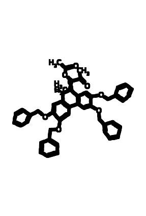 CC(=O)OC[C@@H](C)c1cc(OCc2ccccc2)c(OCc2ccccc2)cc1-c1cc(OCc2ccccc2)c(OCc2ccccc2)cc1[C@H](C)COC(C)=O